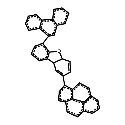 C1=CC2Oc3c(-c4cc5ccccc5c5ccccc45)cccc3C2C=C1c1ccc2ccc3cccc4ccc1c2c34